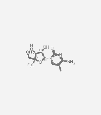 Cc1cn([C@@H]2O[C@@](CO)(C(F)(F)F)[C@@H](O)[C@H]2O)c(=O)nc1N